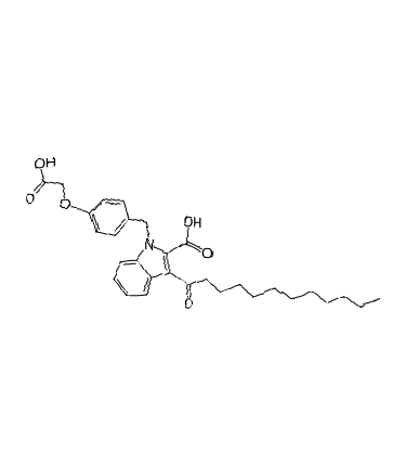 CCCCCCCCCCCC(=O)c1c(C(=O)O)n(Cc2ccc(OCC(=O)O)cc2)c2ccccc12